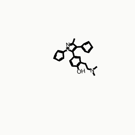 Cc1nn(-c2ccccc2)c(-c2ccc(O)c(CCN(C)C)c2)c1-c1ccccc1